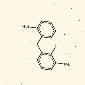 Nc1ccccc1Cc1cccc(N)c1F